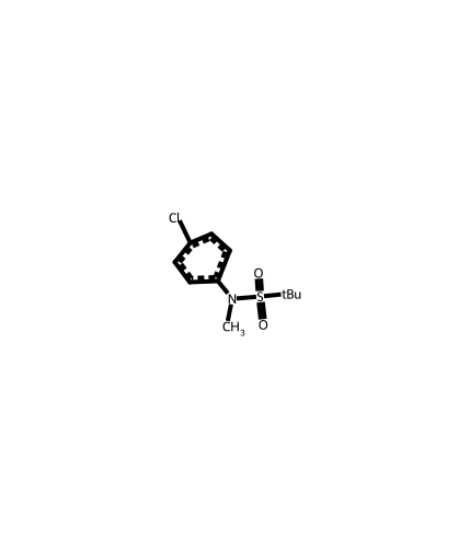 CN(c1ccc(Cl)cc1)S(=O)(=O)C(C)(C)C